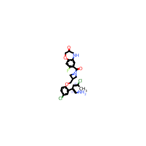 C/C(Cl)=C\C(=C/N)c1cc(Cl)ccc1OCC1CN(C(=O)c2cc3c(cc2F)OCC(=O)CN3)C1